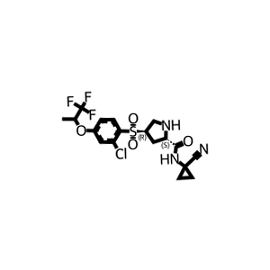 CC(Oc1ccc(S(=O)(=O)[C@H]2CN[C@H](C(=O)NC3(C#N)CC3)C2)c(Cl)c1)C(F)(F)F